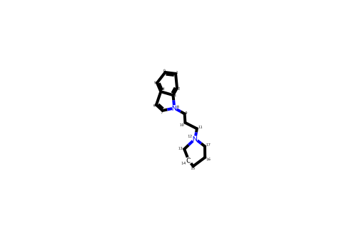 c1ccc2c(c1)ccn2CCCN1CCCCC1